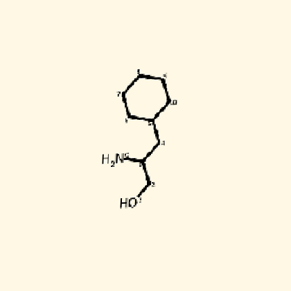 NC(CO)CC1CCCCC1